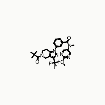 COc1ncc(N(C)C(=O)c2cccc(-n3nc(C(F)(F)F)c4c3CCN(C(=O)C(C)(C)C)C4)c2)cn1